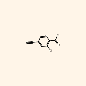 N#Cc1cnc(C(=O)Cl)c(Cl)c1